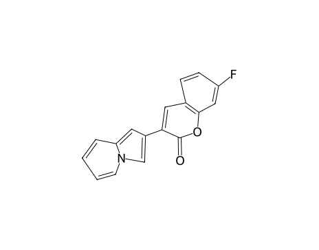 O=c1oc2cc(F)ccc2cc1-c1cc2ccccn2c1